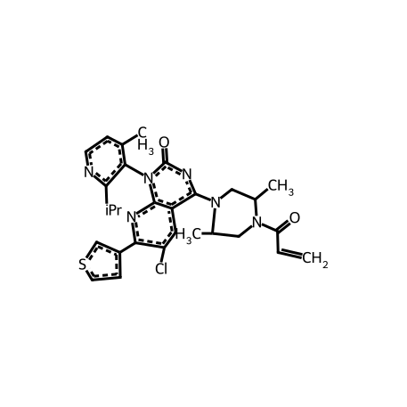 C=CC(=O)N1CC(C)N(c2nc(=O)n(-c3c(C)ccnc3C(C)C)c3nc(-c4ccsc4)c(Cl)cc23)CC1C